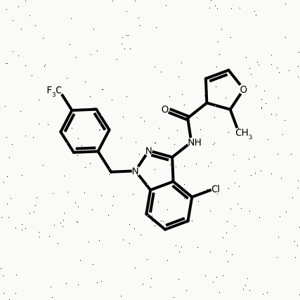 CC1OC=CC1C(=O)Nc1nn(Cc2ccc(C(F)(F)F)cc2)c2cccc(Cl)c12